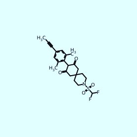 CC#Cc1cc(C)c(C2C(=O)CC3(CCN(S(=O)(=O)C(F)F)CC3)CC2=O)c(C)c1